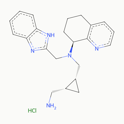 Cl.NC[C@H]1C[C@H]1CN(Cc1nc2ccccc2[nH]1)[C@H]1CCCc2cccnc21